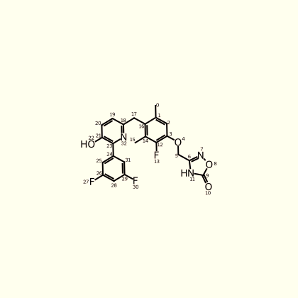 Cc1cc(OCc2noc(=O)[nH]2)c(F)c(C)c1Cc1ccc(O)c(-c2cc(F)cc(F)c2)n1